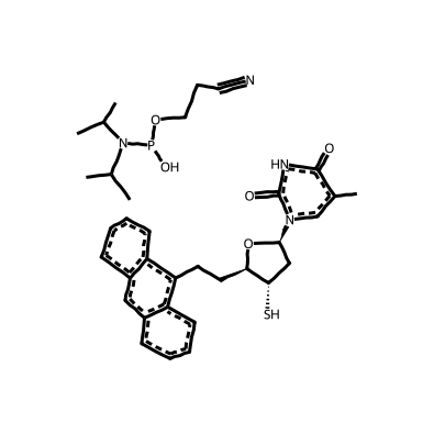 CC(C)N(C(C)C)P(O)OCCC#N.Cc1cn([C@H]2C[C@H](S)[C@@H](CCc3c4ccccc4cc4ccccc34)O2)c(=O)[nH]c1=O